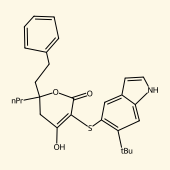 CCCC1(CCc2ccccc2)CC(O)=C(Sc2cc3cc[nH]c3cc2C(C)(C)C)C(=O)O1